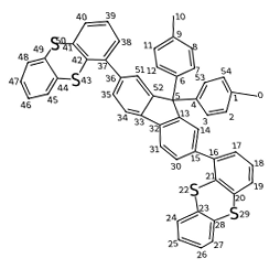 Cc1ccc(C2(c3ccc(C)cc3)c3cc(-c4cccc5c4Sc4ccccc4S5)ccc3-c3ccc(-c4cccc5c4Sc4ccccc4S5)cc32)cc1